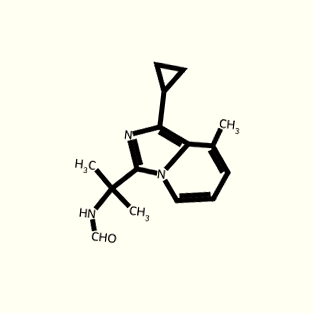 Cc1cccn2c(C(C)(C)NC=O)nc(C3CC3)c12